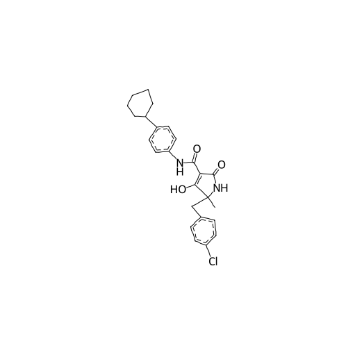 CC1(Cc2ccc(Cl)cc2)NC(=O)C(C(=O)Nc2ccc(C3CCCCC3)cc2)=C1O